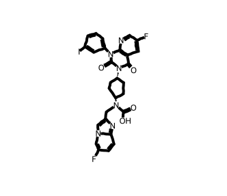 O=C(O)N(Cc1cn2cc(F)ccc2n1)[C@H]1CC[C@@H](n2c(=O)c3cc(F)cnc3n(-c3cccc(I)c3)c2=O)CC1